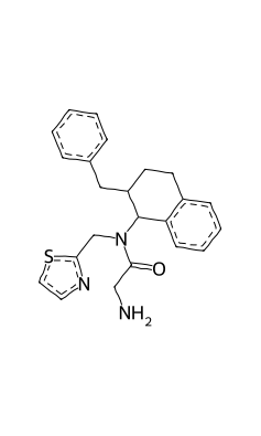 NCC(=O)N(Cc1nccs1)C1c2ccccc2CCC1Cc1ccccc1